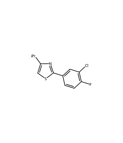 CC(C)c1csc(-c2ccc(F)c(Cl)c2)n1